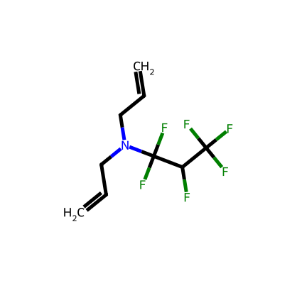 C=CCN(CC=C)C(F)(F)C(F)C(F)(F)F